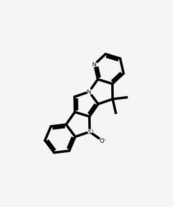 CC1(C)c2cccnc2-n2cc3c4ccccc4[s+]([O-])c3c21